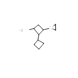 CC1CC(N2CC2)C1C1CCC1